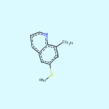 CC(C)(C)Sc1cc(C(=O)O)c2ncccc2c1